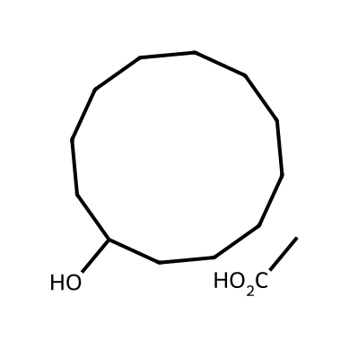 CC(=O)O.OC1CCCCCCCCCCC1